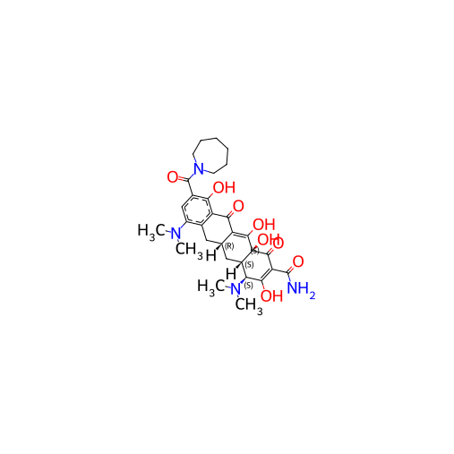 CN(C)c1cc(C(=O)N2CCCCCC2)c(O)c2c1C[C@H]1C[C@H]3[C@H](N(C)C)C(O)=C(C(N)=O)C(=O)[C@@]3(O)C(O)=C1C2=O